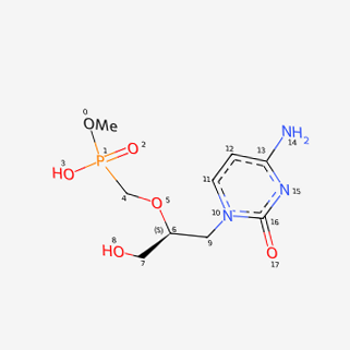 COP(=O)(O)CO[C@H](CO)Cn1ccc(N)nc1=O